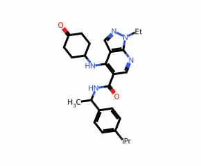 CCn1ncc2c(NC3CCC(=O)CC3)c(C(=O)NC(C)c3ccc(C(C)C)cc3)cnc21